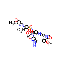 CC(C)Oc1ccccc1[C@@H]1COCCN1C1CC2(C1)CN(c1ccc(C(=O)NS(=O)(=O)c3ccc(NCC4CCC(C)(O)CC4)c([N+](=O)[O-])c3)c(N3c4cc5cc[nH]c5nc4O[C@H]4COCC[C@@H]43)c1)C2